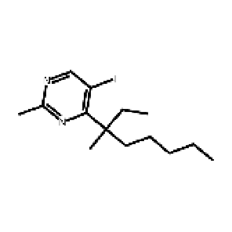 CCCCCC(C)(CC)c1nc(C)ncc1I